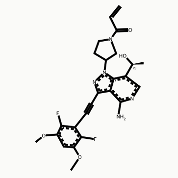 C=CC(=O)N1CCC(n2nc(C#Cc3c(F)c(OC)cc(OC)c3F)c3c(N)ncc([C@H](C)O)c32)C1